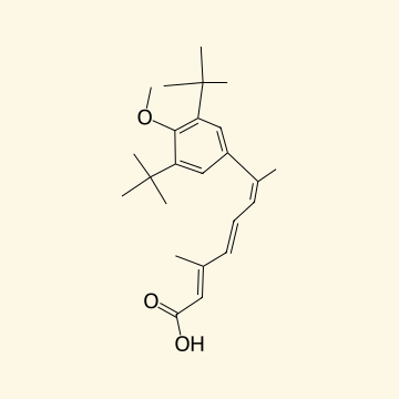 COc1c(C(C)(C)C)cc(\C(C)=C/C=C/C(C)=C/C(=O)O)cc1C(C)(C)C